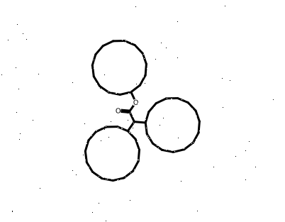 O=C(OC1CCCCCCCCCCCCCC1)C(C1CCCCCCCCCCCCCC1)C1CCCCCCCCCCCCCC1